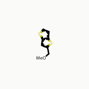 COCc1cc2sccc2s1